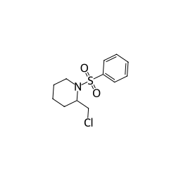 O=S(=O)(c1ccccc1)N1CCCCC1CCl